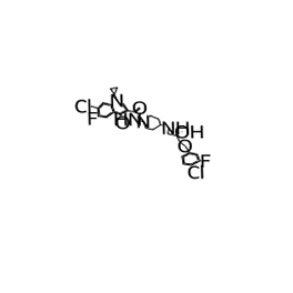 O=C(NN1CCC(NC[C@H](O)COc2ccc(Cl)c(F)c2)CC1)c1cn(C2CC2)c2cc(Cl)c(F)cc2c1=O